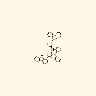 c1cc(-c2cc3ccccc3c3ccccc23)cc(N(c2ccc(-c3cccc4c3oc3ccccc34)cc2)c2ccccc2-c2cccc3ccccc23)c1